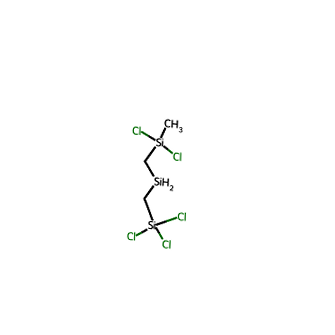 C[Si](Cl)(Cl)C[SiH2]C[Si](Cl)(Cl)Cl